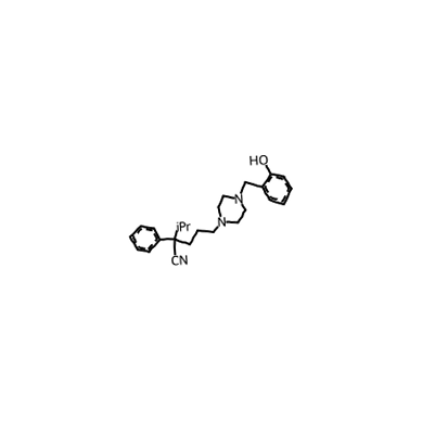 CC(C)C(C#N)(CCCN1CCN(Cc2ccccc2O)CC1)c1ccccc1